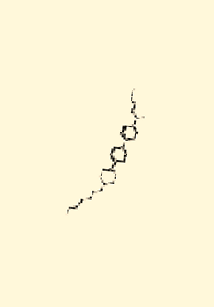 CCCCCCCC1CC=C(c2ccc(-c3ccc(C(C)CCCC)cc3)cc2)CC1